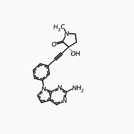 CN1CC[C@@](O)(C#Cc2cccc(-n3ccc4cnc(N)nc43)c2)C1=O